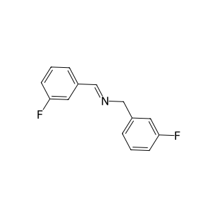 Fc1cccc(C=NCc2cccc(F)c2)c1